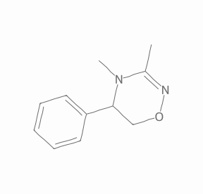 CC1=NOCC(c2ccccc2)N1C